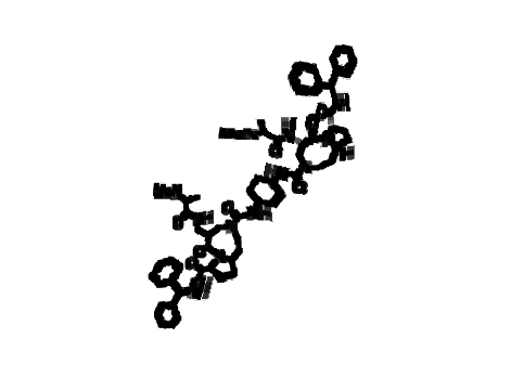 CNC(C)C(=O)NCC1CN(C(=O)NC2CCC(NC(=O)N3CC[C@H]4CC[C@@H](C(=O)NC(c5ccccc5)c5ccccc5)N4C(=O)[C@@H](NC(=O)[C@H](C)NC)C3)CC2)CCC2CCC(C(=O)NC(c3ccccc3)c3ccccc3)N2C1=O